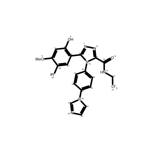 COc1cc(O)c(-c2nnc(C(=O)NCC(F)(F)F)n2-c2ccc(-n3ccnc3)cc2)cc1C(C)C